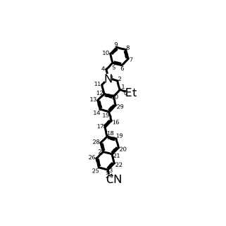 CCC1CN(Cc2ccccc2)Cc2ccc(C=Cc3ccc4cc(C#N)ccc4c3)cc21